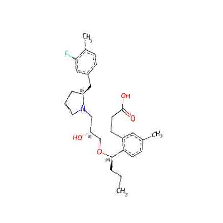 CCC[C@@H](OC[C@H](O)CN1CCC[C@H]1Cc1ccc(C)c(F)c1)c1ccc(C)cc1CCC(=O)O